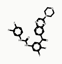 O=C(Nc1ccc(F)c(F)c1)Nc1cc(F)c(F)c(C(=O)c2ccc3ncc(N4CCOCC4)nc3c2)c1